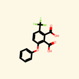 O=C(O)c1c(Oc2ccccc2)ccc(C(F)(F)F)c1C(=O)O